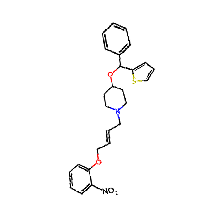 O=[N+]([O-])c1ccccc1OC/C=C/CN1CCC(OC(c2ccccc2)c2cccs2)CC1